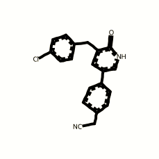 N#CCc1ccc(-c2c[nH]c(=O)c(Cc3ccc(Cl)cc3)c2)cc1